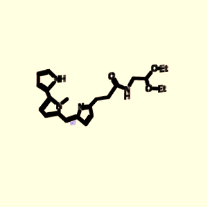 CCOC(CNC(=O)CCC1=N/C(=C\c2ccc(-c3ccc[nH]3)n2C)C=C1)OCC